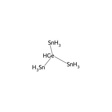 [SnH3][GeH]([SnH3])[SnH3]